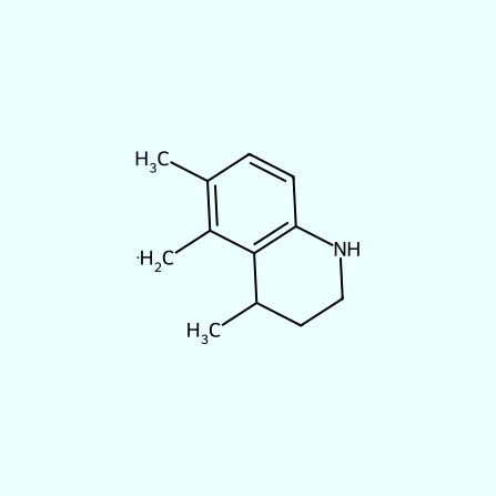 [CH2]c1c(C)ccc2c1C(C)CCN2